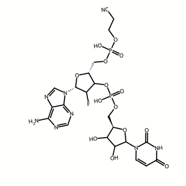 N#CCCOP(=O)(O)OC[C@H]1O[C@@H](n2cnc3c(N)ncnc32)C(F)C1OP(=O)(O)OC[C@H]1OC(n2ccc(=O)[nH]c2=O)C(O)C1O